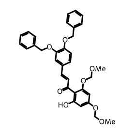 COCOc1cc(O)c(C(=O)C=Cc2ccc(OCc3ccccc3)c(OCc3ccccc3)c2)c(OCOC)c1